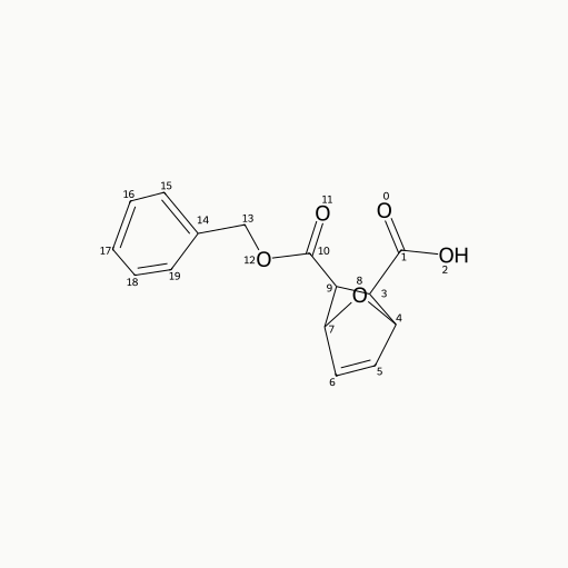 O=C(O)C1C2C=CC(O2)C1C(=O)OCc1ccccc1